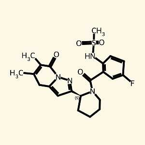 CC1=C(C)C(=O)n2nc([C@@H]3CCCCN3C(=O)c3cc(F)ccc3NS(C)(=O)=O)cc2C1